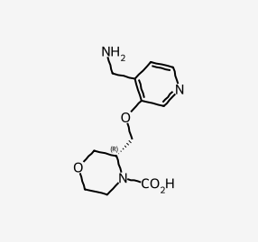 NCc1ccncc1OC[C@H]1COCCN1C(=O)O